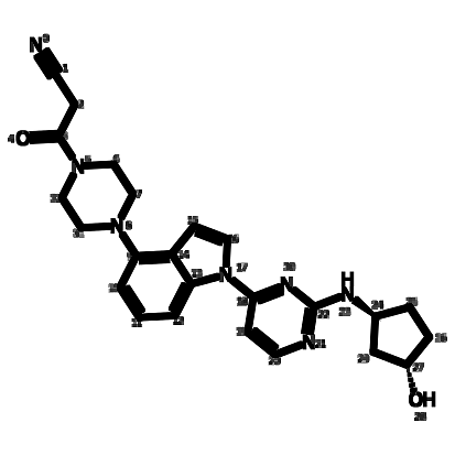 N#CCC(=O)N1CCN(c2cccc3c2ccn3-c2ccnc(N[C@H]3CC[C@H](O)C3)n2)CC1